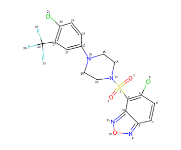 O=S(=O)(c1c(Cl)ccc2nonc12)N1CCN(c2ccc(Cl)c(C(F)(F)F)c2)CC1